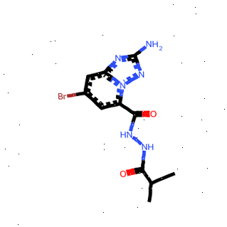 CC(C)C(=O)NNC(=O)c1cc(Br)cc2nc(N)nn12